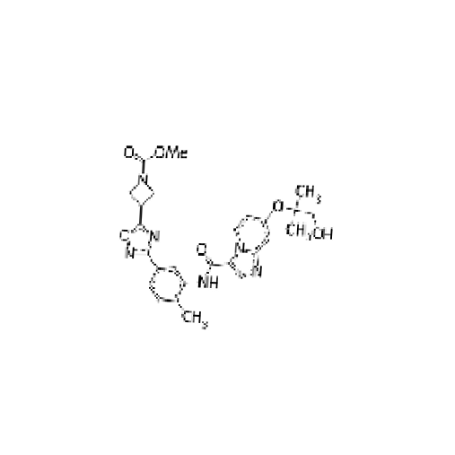 COC(=O)N1CC(c2nc(-c3ccc(C)c(NC(=O)c4cnc5cc(OC(C)(C)CO)ccn45)c3)no2)C1